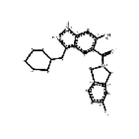 O=C(c1cc2c(CC3CCCCC3)n[nH]c2cc1O)N1Cc2ccc(F)cc2C1